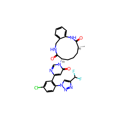 C[C@@H]1CCC[C@H](n2cnc(-c3cc(Cl)ccc3-n3cc(C(F)F)nn3)cc2=O)C(=O)NCc2ccccc2NC1=O